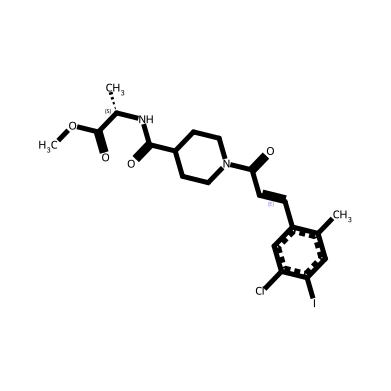 COC(=O)[C@H](C)NC(=O)C1CCN(C(=O)/C=C/c2cc(Cl)c(I)cc2C)CC1